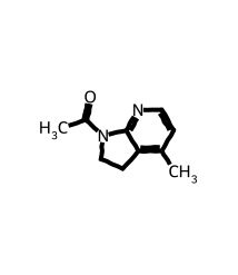 CC(=O)N1CCc2c(C)ccnc21